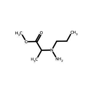 CCCN(N)C(C)C(=O)OC